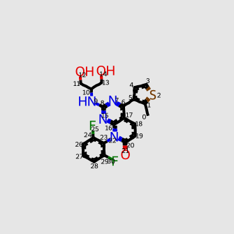 Cc1sccc1-c1nc(NC(CO)CO)nc2c1ccc(=O)n2-c1c(F)cccc1F